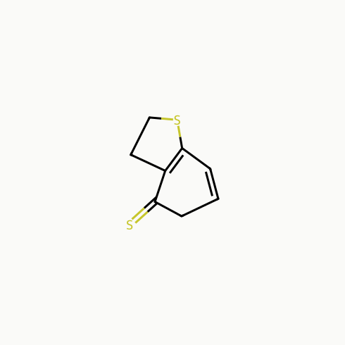 S=C1CC=CC2=C1CCS2